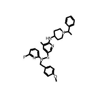 COc1ccc(CN(Sc2cnc(NC3CCN(C(C)c4ccccc4)CC3)c(C)c2)c2cccc(F)n2)cc1